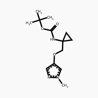 Cn1cc(OCC2(NC(=O)OC(C)(C)C)CC2)cn1